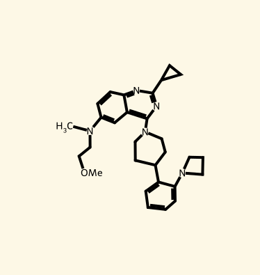 COCCN(C)c1ccc2nc(C3CC3)nc(N3CCC(c4ccccc4N4CCC4)CC3)c2c1